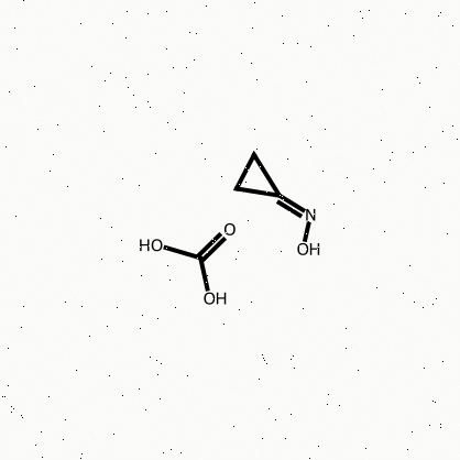 O=C(O)O.ON=C1CC1